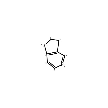 [c]1nccc2c1CCS2